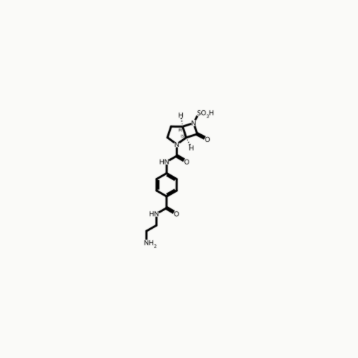 NCCNC(=O)c1ccc(NC(=O)N2CC[C@@H]3[C@H]2C(=O)N3S(=O)(=O)O)cc1